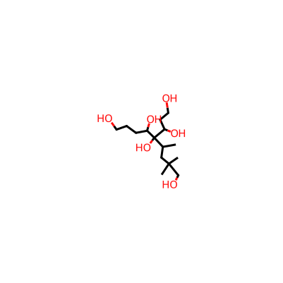 CC(CC(C)(C)CO)C(O)(C(O)CCO)C(O)CCCO